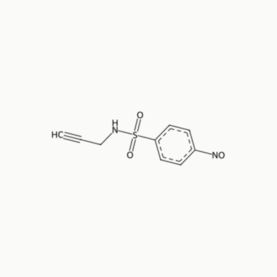 C#CCNS(=O)(=O)c1ccc(N=O)cc1